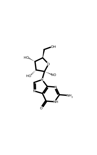 Nc1nc2c(ncn2[C@]2(N=O)O[C@H](CO)[C@@H](O)[C@H]2O)c(=O)[nH]1